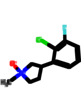 C[N+]1([O-])CCC(c2cccc(F)c2Cl)C1